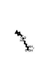 NC(CCCCNC(=O)OCC1CC2(C=C2)C1)C(=O)O